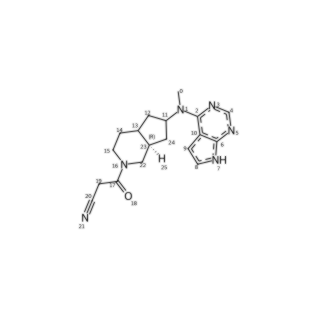 CN(c1ncnc2[nH]ccc12)C1CC2CCN(C(=O)CC#N)C[C@@H]2C1